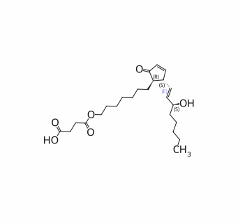 CCCCC[C@H](O)/C=C/[C@H]1C=CC(=O)[C@@H]1CCCCCCCOC(=O)CCC(=O)O